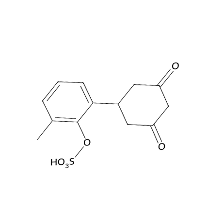 Cc1cccc(C2CC(=O)CC(=O)C2)c1OS(=O)(=O)O